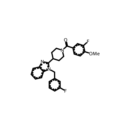 COc1ccc(C(=O)N2CCC(c3nc4ccccc4n3Cc3cccc(F)c3)CC2)cc1F